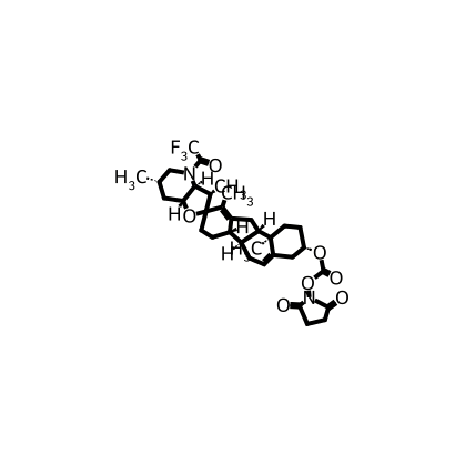 CC1=C2C[C@H]3[C@@H](CC=C4C[C@@H](OC(=O)ON5C(=O)CCC5=O)CC[C@@]43C)[C@@H]2CCC12O[C@@H]1C[C@H](C)CN(C(=O)C(F)(F)F)[C@H]1[C@H]2C